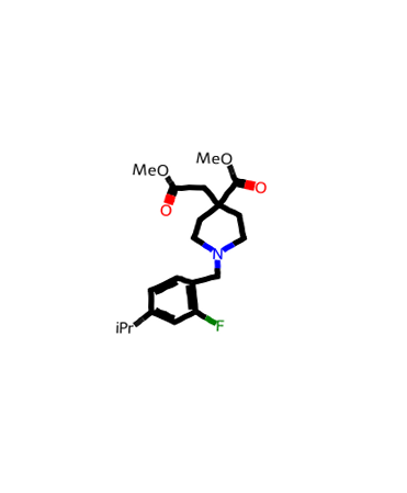 COC(=O)CC1(C(=O)OC)CCN(Cc2ccc(C(C)C)cc2F)CC1